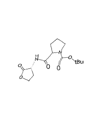 CC(C)(C)OC(=O)N1CCCC1C(=O)N[C@@H]1CCOC1=O